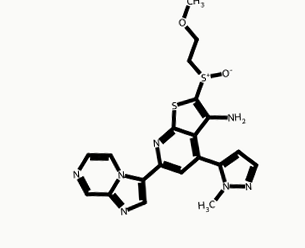 COCC[S+]([O-])c1sc2nc(-c3cnc4cnccn34)cc(-c3ccnn3C)c2c1N